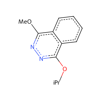 COc1nnc(OC(C)C)c2ccccc12